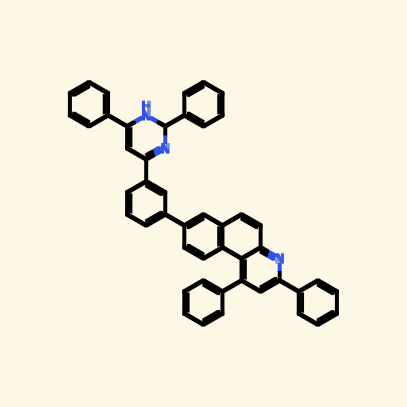 C1=C(c2ccccc2)NC(c2ccccc2)N=C1c1cccc(-c2ccc3c(ccc4nc(-c5ccccc5)cc(-c5ccccc5)c43)c2)c1